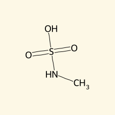 CNS(=O)(=O)O